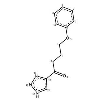 O=C(CCCOc1ccccc1)c1c[nH]nn1